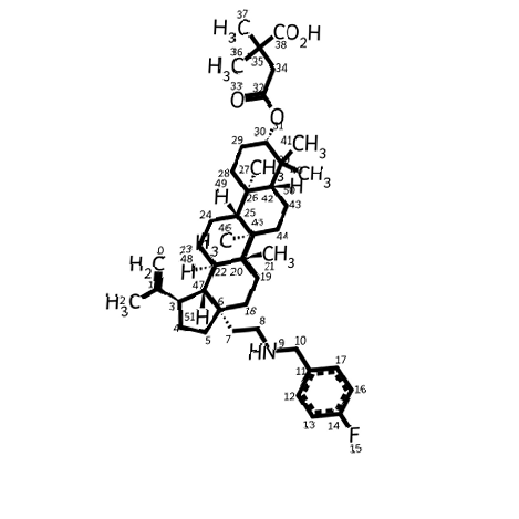 C=C(C)[C@@H]1CC[C@]2(CCNCc3ccc(F)cc3)CC[C@]3(C)[C@H](CC[C@@H]4[C@@]5(C)CC[C@H](OC(=O)CC(C)(C)C(=O)O)C(C)(C)[C@@H]5CC[C@]43C)[C@@H]12